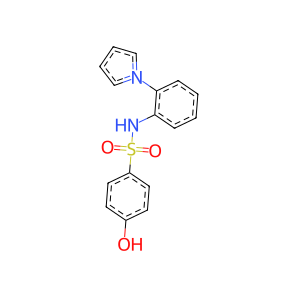 O=S(=O)(Nc1ccccc1-n1cccc1)c1ccc(O)cc1